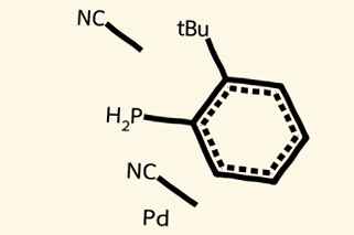 CC#N.CC#N.CC(C)(C)c1ccccc1P.[Pd]